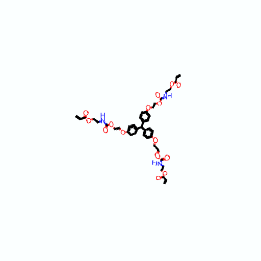 C=CC(=O)OCCNC(=O)OCCOc1ccc(C(c2ccc(OCCOC(=O)NCCOC(=O)C=C)cc2)c2ccc(OCCOC(=O)NCCOC(=O)C=C)cc2)cc1